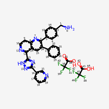 NCc1ccc(-c2nc3ccnc(-c4nc(-c5cccnc5)n[nH]4)c3cc2-c2ccccc2)cc1.O=C(O)C(F)(F)F.O=C(O)C(F)(F)F